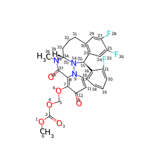 COC(=O)OCOc1c2n(ccc1=O)N1[C@H](c3ccccc3F)c3cc(F)c(F)cc3CCC[C@H]1N(C)C2=O